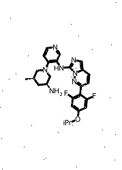 CC(C)Oc1cc(F)c(-c2ccc3cnc(Nc4cnccc4N4C[C@H](C)C[C@H](N)C4)n3n2)c(F)c1